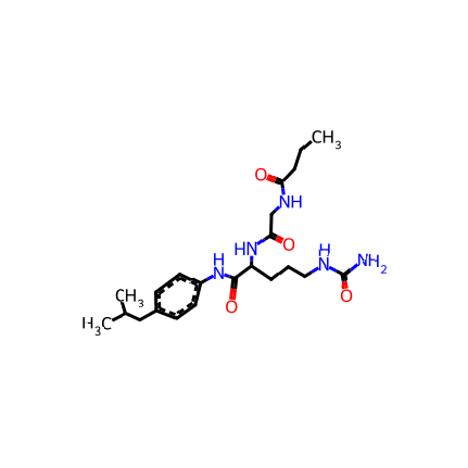 CCCC(=O)NCC(=O)NC(CCCNC(N)=O)C(=O)Nc1ccc(CC(C)C)cc1